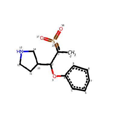 CC(C(Oc1ccccc1)C1CCNC1)=S(=O)=O